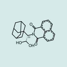 O=C1c2cccc3cccc(c23)C(=O)N1[C@H](C(O)O)C12CC3CC(CC(C3)C1)C2